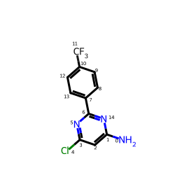 Nc1cc(Cl)nc(-c2ccc(C(F)(F)F)cc2)n1